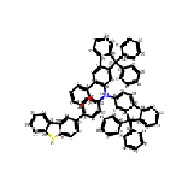 c1ccc(-c2cc3c(cc2N(c2ccc(-c4ccc5sc6ccccc6c5c4)cc2)c2ccc4c(c2)C(c2ccccc2)(c2ccccc2)c2ccccc2-4)C(c2ccccc2)(c2ccccc2)c2ccccc2-3)cc1